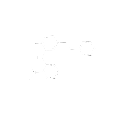 Cc1ccc(CCc2ccccc2)cc1Nc1ccccc1N(C)C